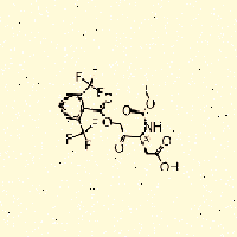 O=C(O)C[C@H](NC(=O)OI)C(=O)COC(=O)c1c(C(F)(F)F)cccc1C(F)(F)F